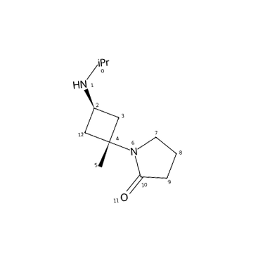 CC(C)N[C@H]1C[C@](C)(N2CCCC2=O)C1